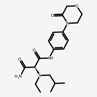 CCN(CC(C)C)[C@@H](C(N)=O)C(=O)Nc1ccc(N2CCOCC2=O)cc1